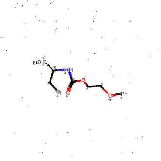 CCOC(=O)[C@H](CC(C)C)NC(=O)OCCOC(C)C